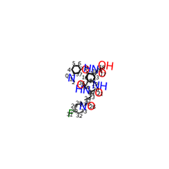 CN(C)c1cccc(Oc2cc3c(cc2NC(=O)O)NC(=O)[C@@H](CCC(=O)N2CCC(F)CC2)NC3=O)c1